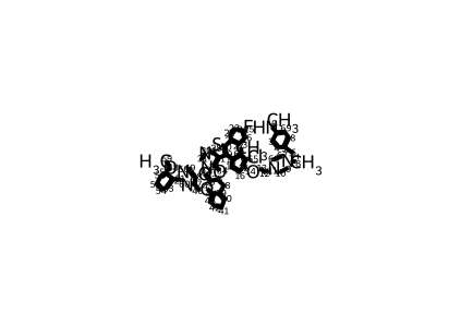 CNc1ccc(C[N+]2(C)CCN(CCOc3ccc(-c4c(-c5ccc(F)cc5)sc5ncnc(OC(C=O)Cc6ccccc6OCc6ccnc(-c7ccccc7OC)n6)c45)c(C)c3Cl)CC2)cc1